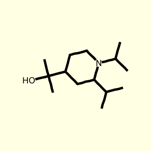 CC(C)C1CC(C(C)(C)O)CCN1C(C)C